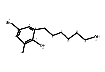 Cc1cc(C(C)(C)C)cc(CCCCCCO)c1O